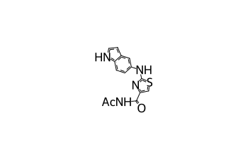 CC(=O)NC(=O)c1csc(Nc2ccc3[nH]ccc3c2)n1